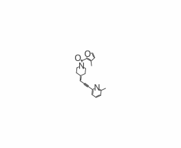 Cc1cccc(C#CC=C2CCN(C(=O)c3occc3C)CC2)n1